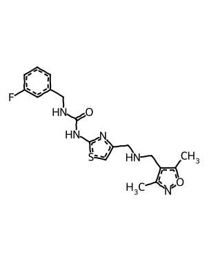 Cc1noc(C)c1CNCc1csc(NC(=O)NCc2cccc(F)c2)n1